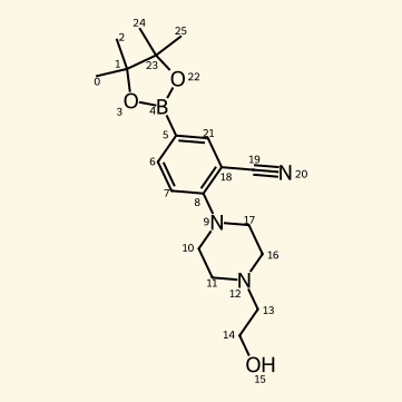 CC1(C)OB(c2ccc(N3CCN(CCO)CC3)c(C#N)c2)OC1(C)C